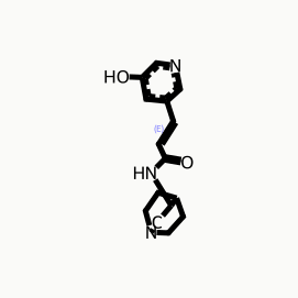 O=C(/C=C/c1cncc(O)c1)NC1CN2CCC1CC2